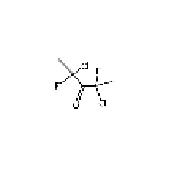 CC(F)(Cl)C(=O)C(C)(F)Cl